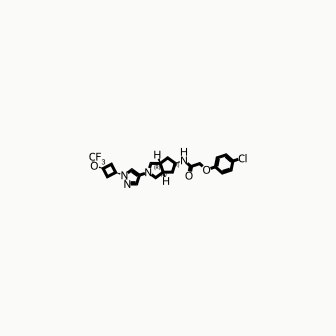 O=C(COc1ccc(Cl)cc1)N[C@@H]1C[C@@H]2CN(c3cnn([C@H]4C[C@@H](OC(F)(F)F)C4)c3)C[C@@H]2C1